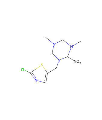 CN1CN(C)C([N+](=O)[O-])N(Cc2cnc(Cl)s2)C1